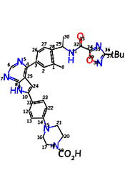 Cc1cc(-c2ncnc3[nH]c(-c4ccc(N5CCN(C(=O)O)CC5)cc4)cc23)ccc1C(C)NC(=O)c1nc(C(C)(C)C)no1